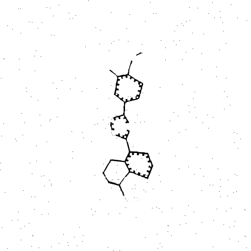 CC(=O)NC1CCCc2c(-c3nnc(-c4ccc(OC(C)C)c(C#N)c4)s3)cccc21